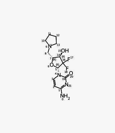 Nc1ccn([C@@H]2O[C@H](CN3CCCC3)[C@@H](O)C2(F)F)c(=O)n1